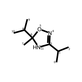 CC(C)C1=NOC(C)(C(C)C)N1